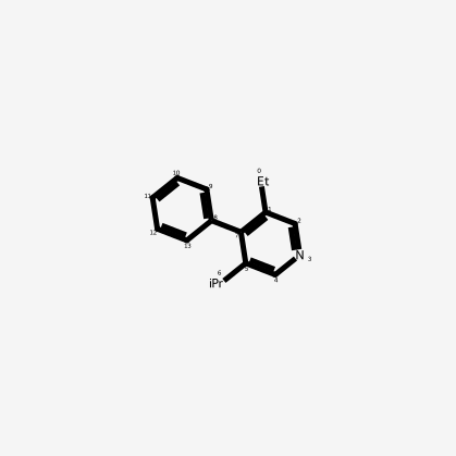 CCc1cncc(C(C)C)c1-c1ccccc1